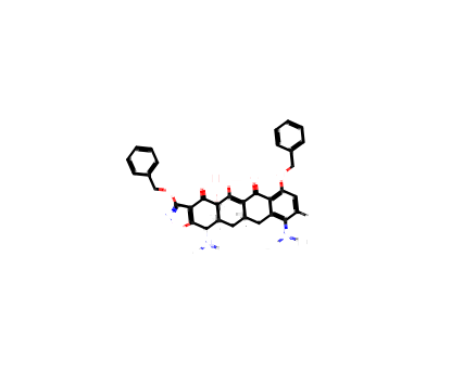 CCN(CC)c1c(C=O)cc(OCc2ccccc2)c2c1C[C@H]1C[C@H]3[C@H](N(C)C)c4onc(OCc5ccccc5)c4C(=O)[C@@]3(O)C(O)=C1C2=O